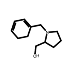 OCC1CCCN1CC1=CC=CCC1